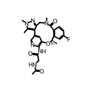 CC(=O)NCC(=O)Nc1ncc2cc1O[C@H](C)c1cc(F)ccc1C(=O)N(C)Cc1nn(C)c(C)c1-2